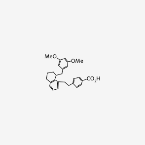 COc1cc(CC2CCCc3cccc(CCc4ccc(C(=O)O)cc4)c32)cc(OC)c1